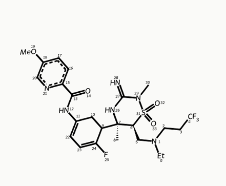 CCN(CCC(F)(F)F)C[C@H]1[C@@](C)(C2CC(NC(=O)c3ccc(OC)cn3)=CC=C2F)NC(=N)N(C)S1(=O)=O